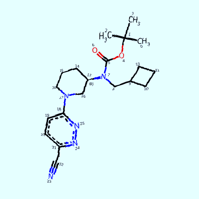 CC(C)(C)OC(=O)N(CC1CCC1)[C@@H]1CCCN(c2ccc(C#N)nn2)C1